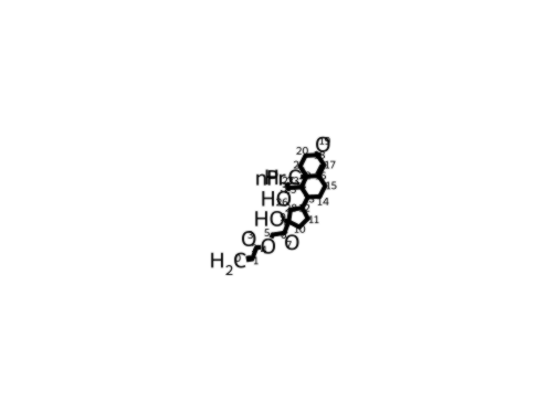 C=CC(=O)OCC(=O)C1(O)CCC(C2CCC3=CC(=O)CCC3(C)C2C(O)CCC)C1